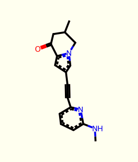 CNc1cccc(C#Cc2cc3n(c2)CC(C)CC3=O)n1